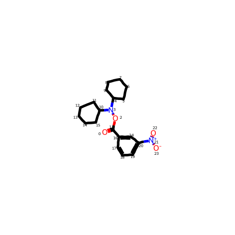 O=C(ON(C1CCCCC1)C1CCCCC1)c1cccc([N+](=O)[O-])c1